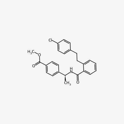 COC(=O)c1ccc([C@H](C)NC(=O)c2ccccc2CCc2ccc(Cl)cc2)cc1